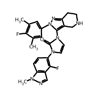 Cc1cc(-n2nc3c(c2-n2ccn(-c4ccc5c(cnn5C)c4F)c2=O)CNCC3)cc(C)c1F